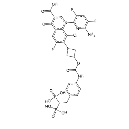 Nc1nc(-n2cc(C(=O)O)c(=O)c3cc(F)c(N4CC(OC(=O)Nc5ccc(CC(P(=O)(O)O)P(=O)(O)O)cc5)C4)c(Cl)c32)c(F)cc1F